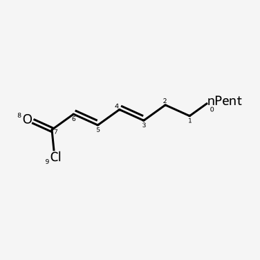 CCCCCCCC=CC=CC(=O)Cl